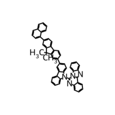 CC1(C)c2cc(-c3ccc4c(c3)c3ccccc3n4-c3nc4ccccc4c4nc5ccccc5n34)ccc2-c2ccc(-c3cccc4ccccc34)cc21